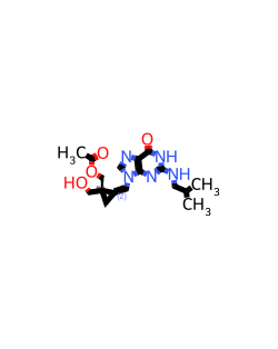 CC(=O)OC[C@]1(CO)C/C1=C/n1cnc2c(=O)[nH]c(NCC(C)C)nc21